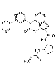 C=CC(=O)N[C@H]1CCC[C@H]1NC(=O)c1sc2nccc3c2c1NC(=O)N3c1ccnc(-c2cccnc2)c1